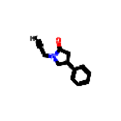 C#CCN1CC(c2ccccc2)CC1=O